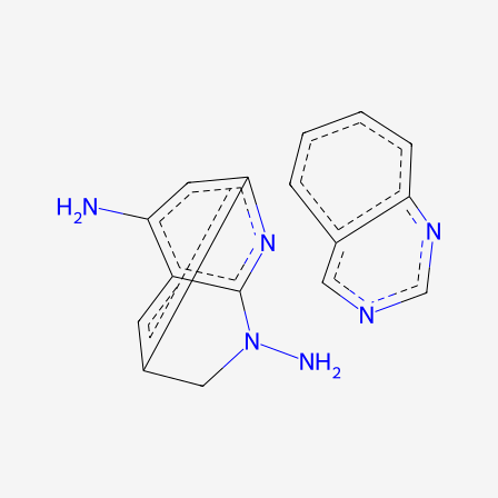 Nc1cc2nc3c1cc2CN3N.c1ccc2ncncc2c1